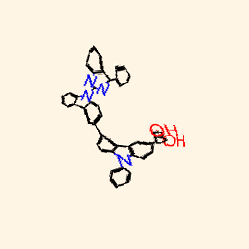 OB(O)c1ccc2c(c1)c1cc(-c3ccc4c(c3)c3ccccc3n4-c3nc(-c4ccccc4)c4ccccc4n3)ccc1n2-c1ccccc1